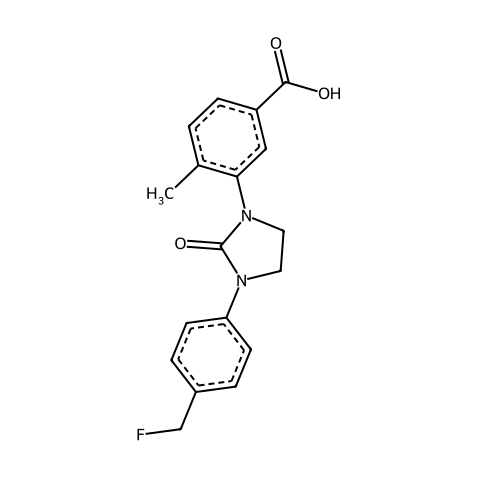 Cc1ccc(C(=O)O)cc1N1CCN(c2ccc(CF)cc2)C1=O